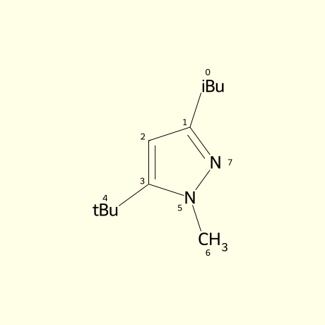 CCC(C)c1cc(C(C)(C)C)n(C)n1